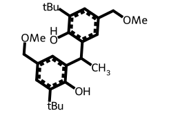 COCc1cc(C(C)c2cc(COC)cc(C(C)(C)C)c2O)c(O)c(C(C)(C)C)c1